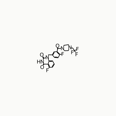 O=C(c1cc(Cn2c(=O)[nH]c(=O)c3c(F)cccc32)ccc1F)N1CCN(CC(F)(F)F)CC1